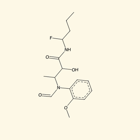 CCCC(F)NC(=O)C(O)C(C)N(C=O)c1ccccc1OC